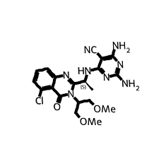 COCC(COC)n1c([C@H](C)Nc2nc(N)nc(N)c2C#N)nc2cccc(Cl)c2c1=O